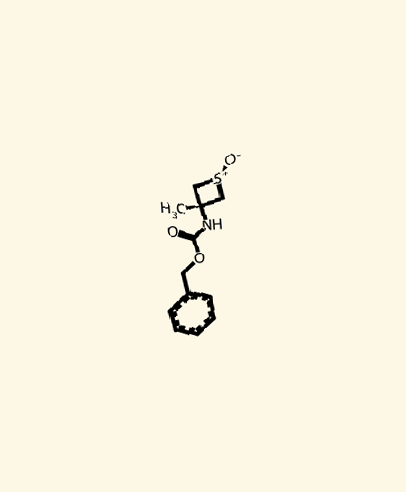 C[C@]1(NC(=O)OCc2ccccc2)C[S@+]([O-])C1